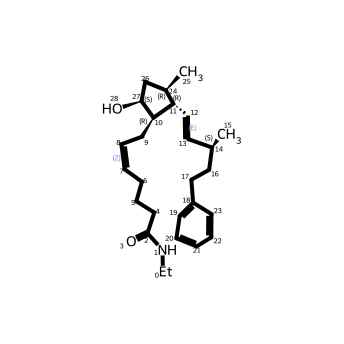 CCNC(=O)CCC/C=C\C[C@@H]1[C@@H](/C=C/[C@@H](C)CCc2ccccc2)[C@H](C)C[C@@H]1O